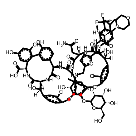 CN[C@@H](CC(C)C)C(=O)N[C@H]1C(=O)N[C@@H](CC(N)=O)C(=O)NC2C(=O)N[C@@H]3C(=O)N[C@@H](C(=O)N[C@@H](C(=O)O)c4cc(O)cc(O)c4-c4cc3ccc4O)[C@H](O)c3ccc(c(Cl)c3)Oc3cc2cc(c3OC2O[C@H](CO)[C@@H](O)[C@@H](O)[C@H]2O[C@H]2CC(C)(NCc3ccc(C(=O)Nc4ccc(N5CCOCC5)c(C(F)(F)F)c4)o3)[C@@H](O)[C@@H](C)O2)Oc2ccc(cc2Cl)[C@H]1O